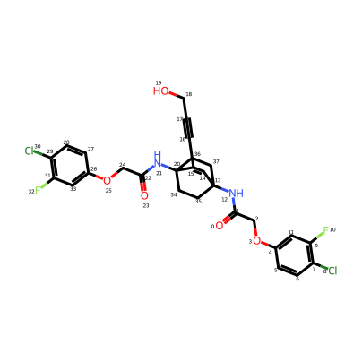 O=C(COc1ccc(Cl)c(F)c1)NC12C=C(C#CCO)C(NC(=O)COc3ccc(Cl)c(F)c3)(CC1)CC2